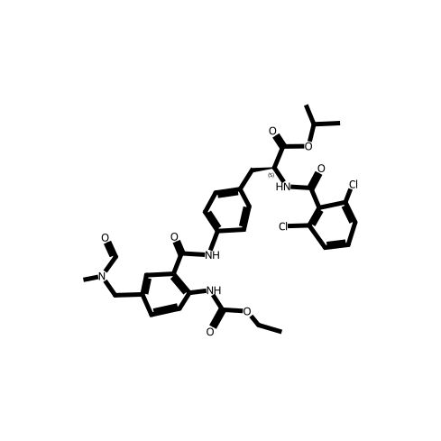 CCOC(=O)Nc1ccc(CN(C)C=O)cc1C(=O)Nc1ccc(C[C@H](NC(=O)c2c(Cl)cccc2Cl)C(=O)OC(C)C)cc1